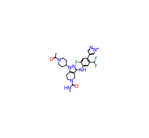 CNC(=O)N1CCc2c(c(Nc3cc(C(F)F)c(-c4cnn(C)c4)cc3F)nn2C2CCN(C(C)=O)CC2)C1